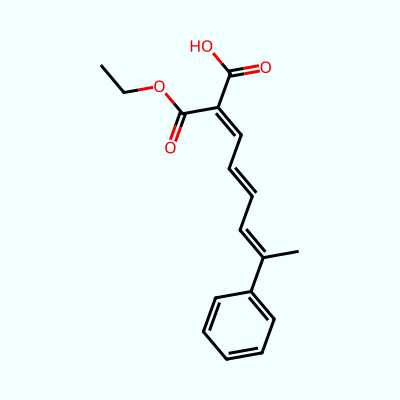 CCOC(=O)C(=CC=CC=C(C)c1ccccc1)C(=O)O